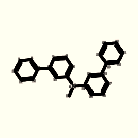 CN(c1cccc(-c2ccccc2)c1)c1cccc(-c2ccccc2)c1